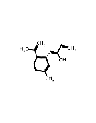 C=C/C(O)=C/[C@@H]1C=C(C)CC[C@H]1C(=C)C